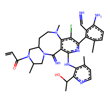 C=CC(=O)N1CC2CCN(C)c3c(F)c(-c4c(C)ccc(N)c4C=N)nc(Nc4c(C)ccnc4C(C)O)c3C(=N)N2CC1C